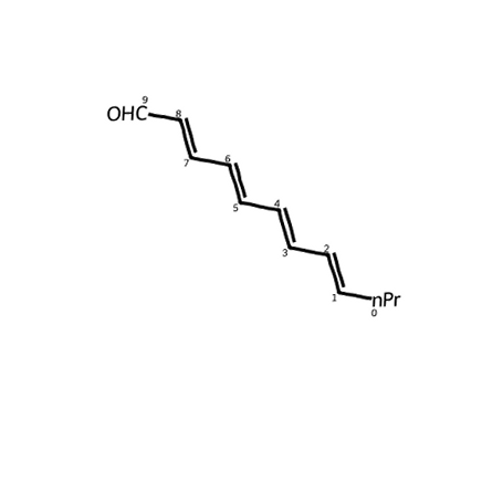 CCC/C=C/C=C/C=C/C=C/C=O